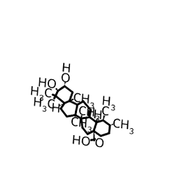 C[C@H]1[C@H](C)CC[C@]2(C(=O)O)CC[C@@]3(C)C(=CCC4[C@@]5(C)C[C@@H](O)[C@H](O)C(C)(C)[C@@H]5CC[C@]43C)[C@H]12